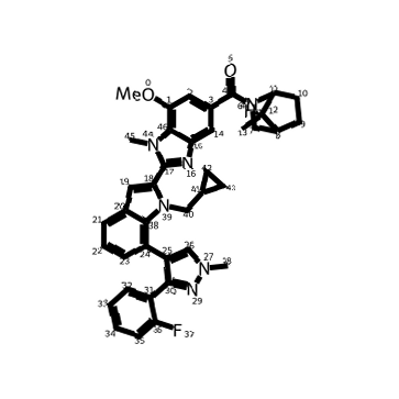 COc1cc(C(=O)N2CC3CCC2[C@@H]3C)cc2nc(-c3cc4cccc(-c5cn(C)nc5-c5ccccc5F)c4n3CC3CC3)n(C)c12